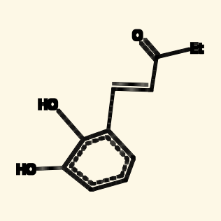 CCC(=O)C=Cc1cccc(O)c1O